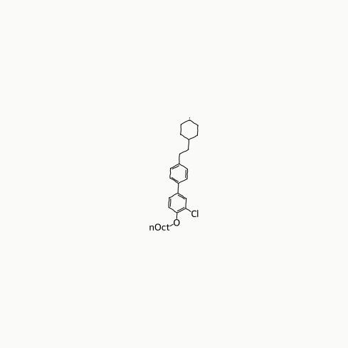 CCCCCCCCOc1ccc(-c2ccc(CCC3CC[CH]CC3)cc2)cc1Cl